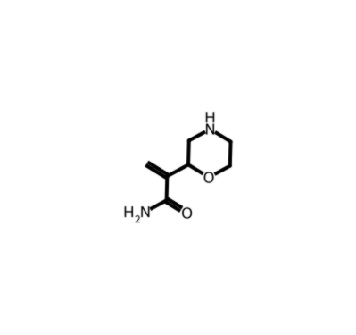 C=C(C(N)=O)C1CNCCO1